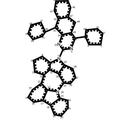 c1ccc(-c2nc(-n3c4cccc5c6cccc7c8ccccc8n(c8cccc3c8c54)c67)nc3c(-c4ccccc4)c4ccccc4cc23)cc1